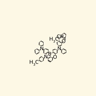 Cc1ccc(N2c3c#ccc4c3B(c3ccc(N(c5ccccc5)c5ccc6c(c5)Oc5ccccc5C6(C)C)cc3O4)c3ccc(N(c4ccccc4)c4ccccc4)cc32)cc1